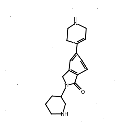 O=C1c2ccc(C3=CCNCC3)cc2CN1C1CCCNC1